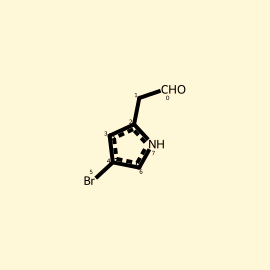 O=CCc1cc(Br)c[nH]1